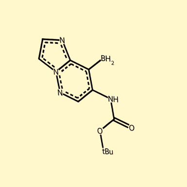 Bc1c(NC(=O)OC(C)(C)C)cnn2ccnc12